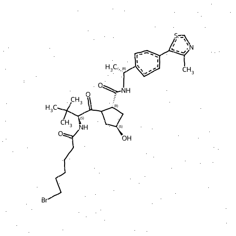 Cc1ncsc1-c1ccc([C@@H](C)NC(=O)[C@@H]2C[C@@H](O)CC2C(=O)[C@@H](NC(=O)CCCCCBr)C(C)(C)C)cc1